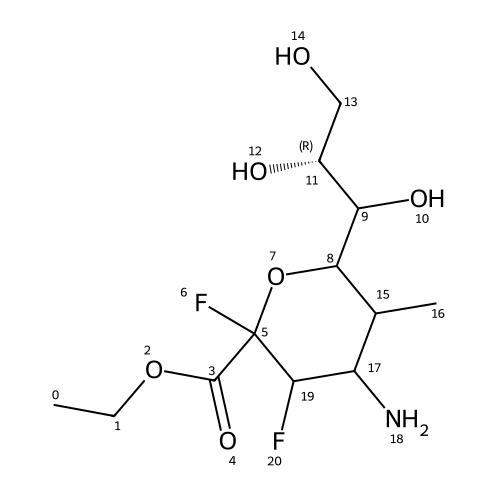 CCOC(=O)C1(F)OC(C(O)[C@H](O)CO)C(C)C(N)C1F